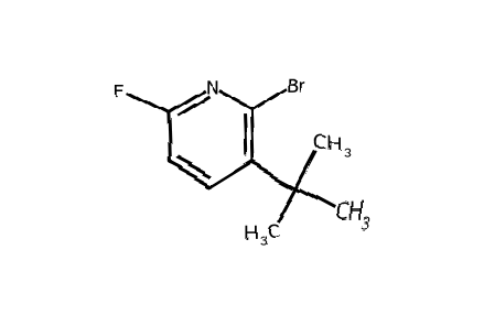 CC(C)(C)c1ccc(F)nc1Br